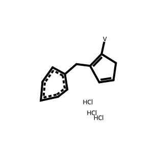 Cl.Cl.Cl.[V][C]1=C(Cc2ccccc2)C=CC1